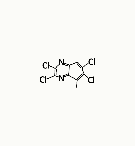 Cc1c(Cl)c(Cl)cc2nc(Cl)c(Cl)nc12